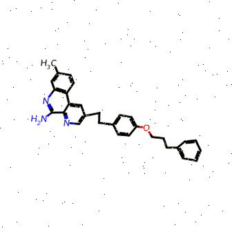 Cc1ccc2c(c1)nc(N)c1ncc(CCc3ccc(OCCCc4ccccc4)cc3)cc12